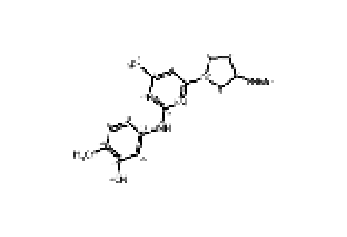 CCCc1cc(N2CCC(NC)C2)nc(Nc2ccc(C)c(C#N)c2)n1